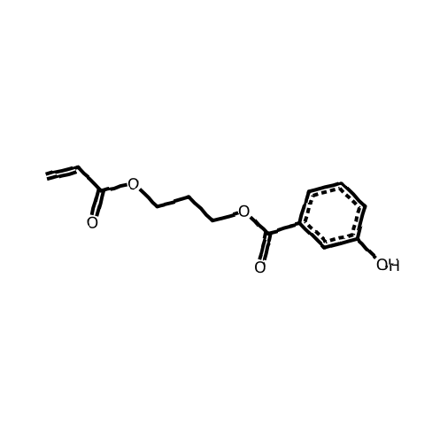 C=CC(=O)OCCCOC(=O)c1cccc(O)c1